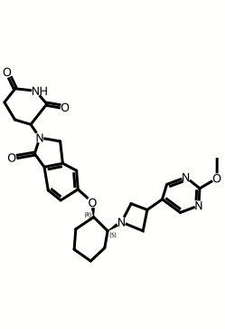 COc1ncc(C2CN([C@H]3CCCC[C@H]3Oc3ccc4c(c3)CN(C3CCC(=O)NC3=O)C4=O)C2)cn1